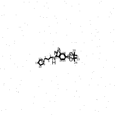 Cn1nc(NCCCN2CCCC2)c2ccc(B3OC(C)(C)C(C)(C)O3)cc21